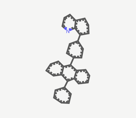 c1ccc(-c2c3ccccc3c(-c3ccc(-c4cccc5cccnc45)cc3)c3ccccc23)cc1